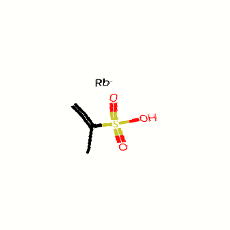 C=C(C)S(=O)(=O)O.[Rb]